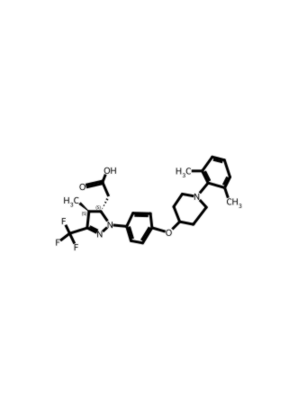 Cc1cccc(C)c1N1CCC(Oc2ccc(N3N=C(C(F)(F)F)[C@@H](C)[C@@H]3CC(=O)O)cc2)CC1